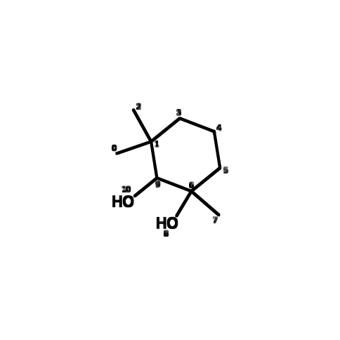 CC1(C)CCCC(C)(O)C1O